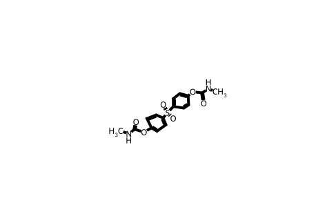 CNC(=O)Oc1ccc(S(=O)(=O)c2ccc(OC(=O)NC)cc2)cc1